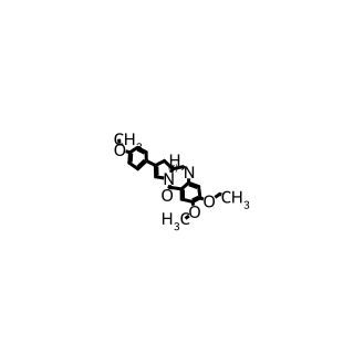 CCOc1cc2c(cc1OC)C(=O)N1C=C(c3ccc(OC)cc3)C[C@H]1C=N2